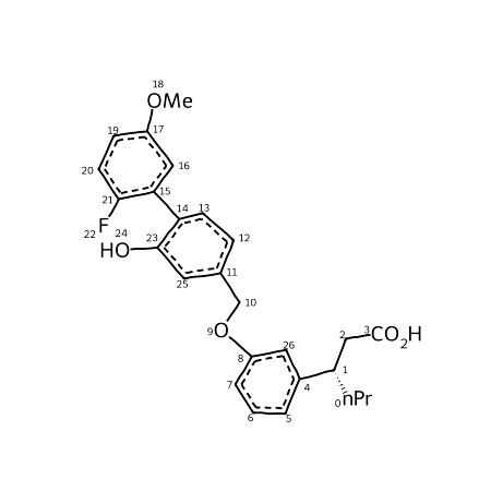 CCC[C@@H](CC(=O)O)c1cccc(OCc2ccc(-c3cc(OC)ccc3F)c(O)c2)c1